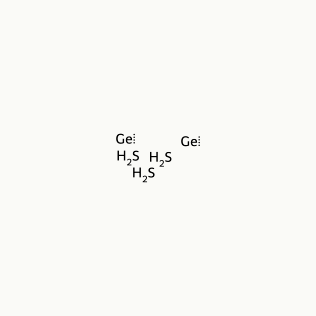 S.S.S.[Ge].[Ge]